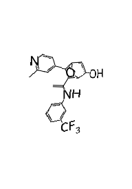 C=C(Nc1cccc(C(F)(F)F)c1)c1c(-c2ccnc(C)c2)c2cc(O)c1o2